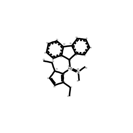 CCC1=[C]([Hf]([CH]2c3ccccc3-c3ccccc32)=[Si](C)C)C(CC)C=C1